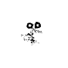 CO[Si](OC[Si](C)(CN)O[Si](C)(C)C)(c1ccccc1)c1ccccc1